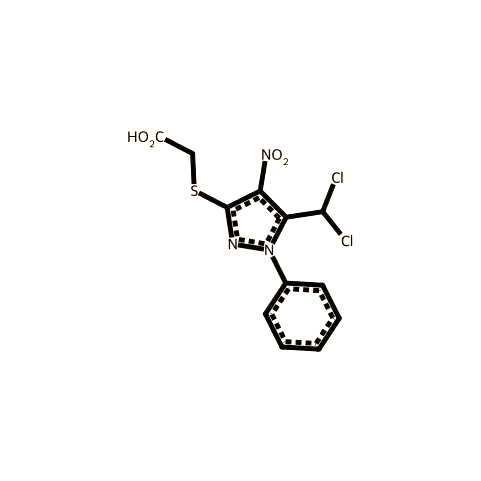 O=C(O)CSc1nn(-c2ccccc2)c(C(Cl)Cl)c1[N+](=O)[O-]